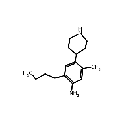 CCCCc1cc(C2CCNCC2)c(C)cc1N